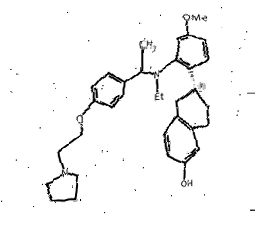 CCN(c1cc(OC)ccc1[C@@H]1CCc2cc(O)ccc2C1)C(C)c1ccc(OCCN2CCCC2)cc1